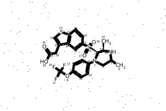 CC1CN(c2ccc(OC(F)(F)F)cc2)[C@@H](S(=O)(=O)c2ccc3scc(CC(=O)O)c3c2)[C@@H](C)N1